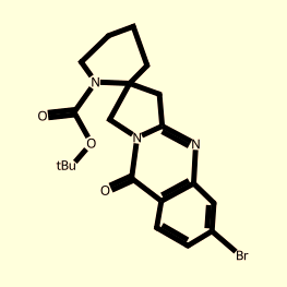 CC(C)(C)OC(=O)N1CCCCC12Cc1nc3cc(Br)ccc3c(=O)n1C2